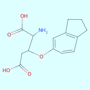 NC(C(=O)O)C(CC(=O)O)Oc1ccc2c(c1)CCC2